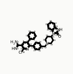 N=C(N)c1cc(-c2ccccc2)c(-c2ccc(CN3CCC(n4c(=O)[nH]c5ccccc54)CC3)cc2)nc1Cl